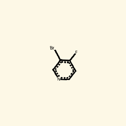 Fc1[c]cncc1Br